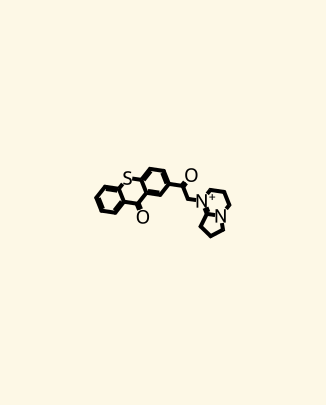 O=C(C[N+]1=C2CCCN2CCC1)c1ccc2sc3ccccc3c(=O)c2c1